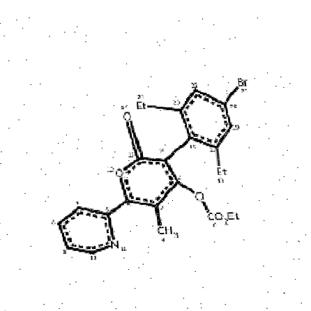 CCOC(=O)Oc1c(C)c(-c2ccccn2)oc(=O)c1-c1c(CC)cc(Br)cc1CC